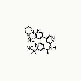 C=C(Nc1cnc(C)c(-c2cnc(N3CCCC[C@@H]3C)c(C#N)c2)c1)c1ccnc(C(C)(C)C#N)c1